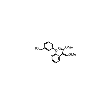 CO/C=C(\C(=O)OC)c1cccnc1Oc1cccc(CO)c1